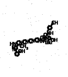 C#Cc1ccc(CNC(=O)[C@@H]2C[C@@H](O)CN2C(=O)[C@@H](NC(=O)N2CCC(N3CCC(N4CCC(N5CCC6Nc7nnc(-c8ccccc8O)cc7C6[C@H]5C)CC4)CC3)CC2)C(C)(C)C)cc1